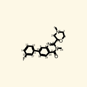 CN1CCOC(c2nc3cc(-c4cccc(F)c4)ccc3c(=O)n2C)C1